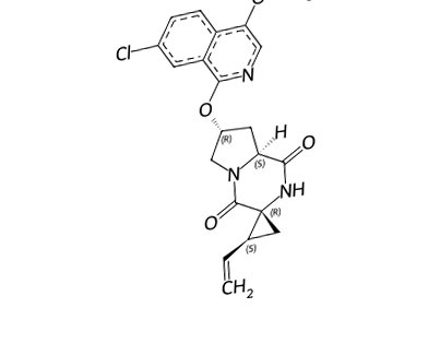 C=C[C@@H]1C[C@@]12NC(=O)[C@@H]1C[C@@H](Oc3ncc(OC)c4ccc(Cl)cc34)CN1C2=O